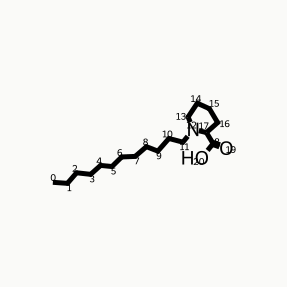 CCCCCCCCCCCCN1CCCCC1C(=O)O